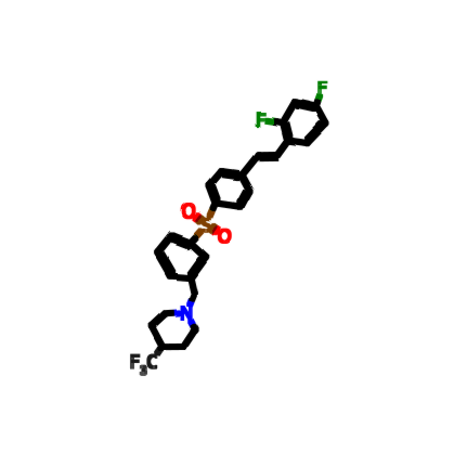 O=S(=O)(c1ccc(C=Cc2ccc(F)cc2F)cc1)c1cccc(CN2CCC(C(F)(F)F)CC2)c1